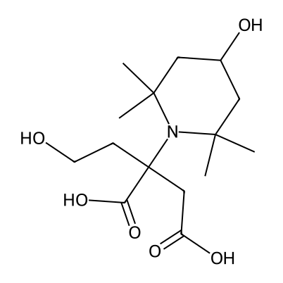 CC1(C)CC(O)CC(C)(C)N1C(CCO)(CC(=O)O)C(=O)O